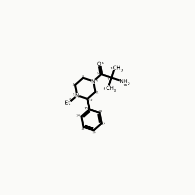 CCN1CCN(C(=O)C(C)(C)N)CC1c1ccccc1